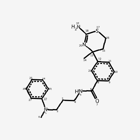 CN(CCCNC(=O)c1cccc(C2(C)CCSC(N)=N2)c1)c1ccccc1